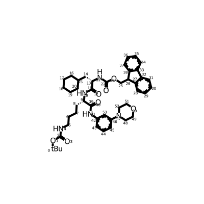 CC(C)(C)OC(=O)NCCCC[C@H](NC(=O)[C@H](CC1CCCCC1)NC(=O)OCC1c2ccccc2-c2ccccc21)C(=O)Nc1cccc(N2CCOCC2)c1